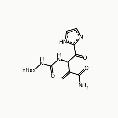 C=C(C(N)=O)[C@@H](NC(=O)NCCCCCC)C(=O)c1ncc[nH]1